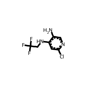 Nc1cnc(Cl)cc1NCC(F)(F)F